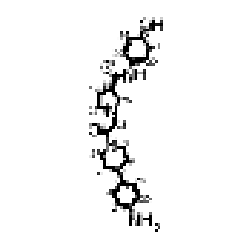 Nc1ccc(C2CCN(C(=O)CN3CCC(C(=O)NC4=CCC(O)C=C4)C3)CC2)cc1